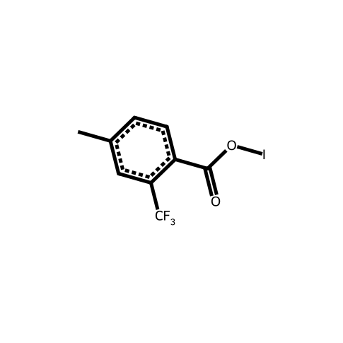 Cc1ccc(C(=O)OI)c(C(F)(F)F)c1